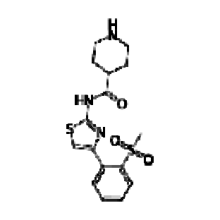 CS(=O)(=O)c1ccccc1-c1csc(NC(=O)C2CCNCC2)n1